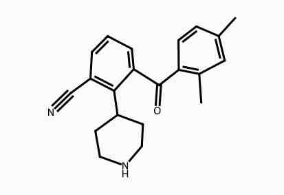 Cc1ccc(C(=O)c2cccc(C#N)c2C2CCNCC2)c(C)c1